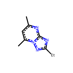 CCc1nc2nc(C)cc(C)n2n1